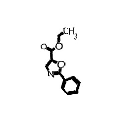 CCOC(=O)C1CN=C(c2ccccc2)O1